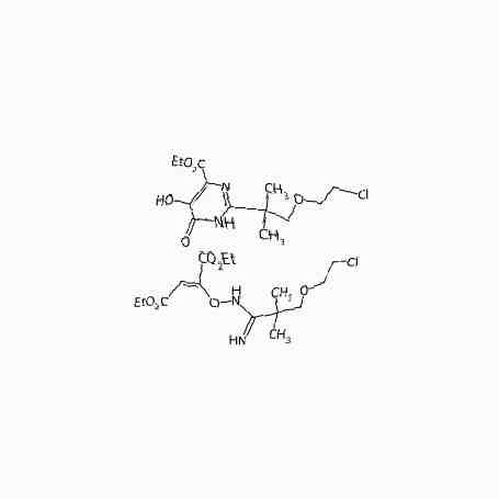 CCOC(=O)C=C(ONC(=N)C(C)(C)COCCCl)C(=O)OCC.CCOC(=O)c1nc(C(C)(C)COCCCl)[nH]c(=O)c1O